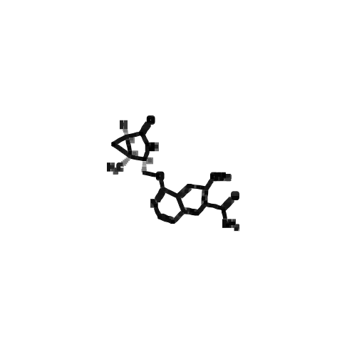 COc1cc2c(OC[C@H]3NC(=O)[C@@H]4C[C@]34C)nccc2cc1C(N)=O